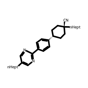 CCCCCCCc1cnc(-c2ccc([C@H]3CC[C@@](C#N)(CCCCCCC)CC3)cc2)nc1